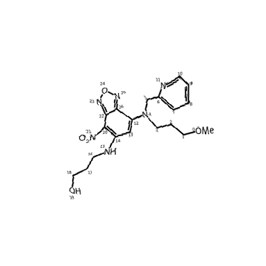 COCCCN(Cc1ccccn1)c1cc(NCCCO)c([N+](=O)[O-])c2nonc12